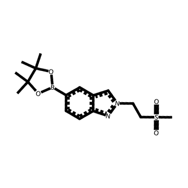 CC1(C)OB(c2ccc3nn(CCS(C)(=O)=O)cc3c2)OC1(C)C